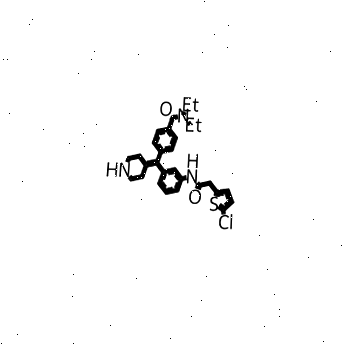 CCN(CC)C(=O)c1ccc(C(=C2CCNCC2)c2cccc(NC(=O)Cc3ccc(Cl)s3)c2)cc1